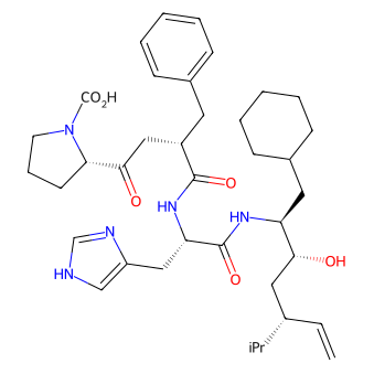 C=C[C@@H](C[C@@H](O)[C@H](CC1CCCCC1)NC(=O)[C@H](Cc1c[nH]cn1)NC(=O)[C@H](CC(=O)[C@@H]1CCCN1C(=O)O)Cc1ccccc1)C(C)C